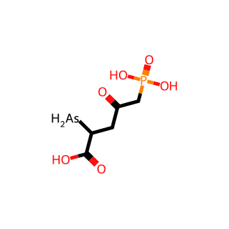 O=C(CC([AsH2])C(=O)O)CP(=O)(O)O